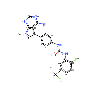 Cn1cc(-c2ccc(NC(O)Nc3cc(C(F)(F)F)ccc3F)cc2)c2c(N)ncnc21